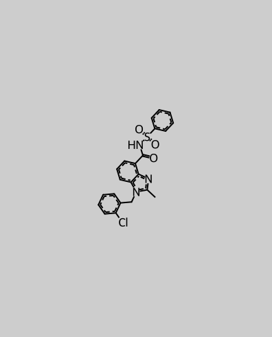 Cc1nc2c(C(=O)NS(=O)(=O)c3ccccc3)cccc2n1Cc1ccccc1Cl